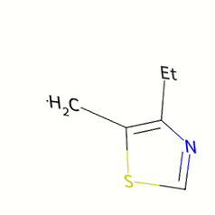 [CH2]c1scnc1CC